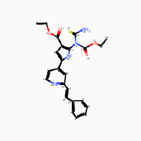 CCOC(=O)c1cc(-c2ccnc(/C=C/c3ccccc3)c2)[nH]c1N(C(=O)OCC)C(N)=S